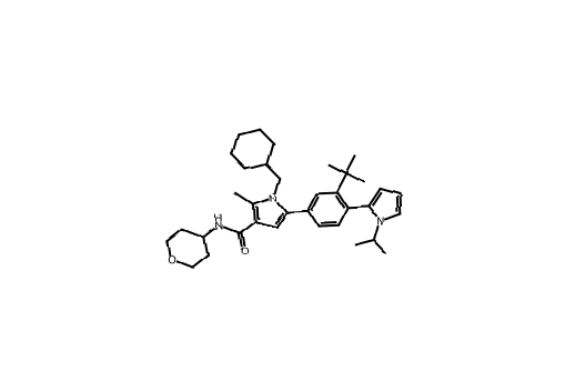 Cc1c(C(=O)NC2CCOCC2)cc(-c2ccc(-c3cccn3C(C)C)c(C(C)(C)C)c2)n1CC1CCCCC1